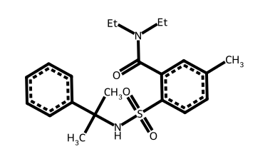 CCN(CC)C(=O)c1cc(C)ccc1S(=O)(=O)NC(C)(C)c1ccccc1